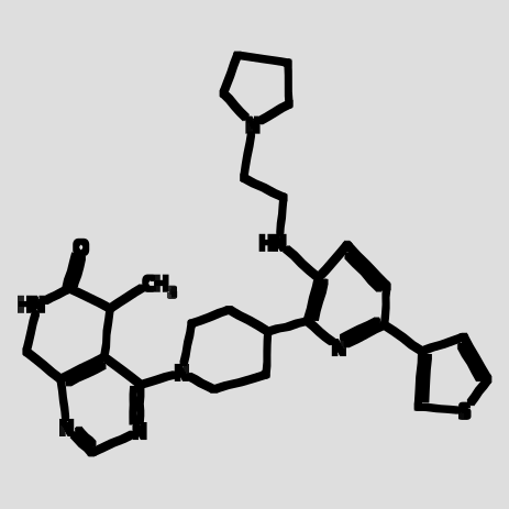 CC1C(=O)NCc2ncnc(N3CCC(c4nc(-c5ccsc5)ccc4NCCN4CCCC4)CC3)c21